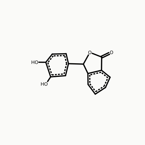 O=C1OC(c2ccc(O)c(O)c2)c2ccccc21